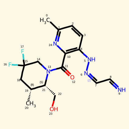 Cc1ccc(N/N=C\C=N)c(C(=O)N2CC(F)(F)C[C@@H](C)[C@H]2CO)n1